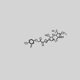 CC1NN(C)C(C)C1OC1CCN(C23CC(NC(=O)COc4ccc(Cl)c(F)c4)(C2)C3)C1O